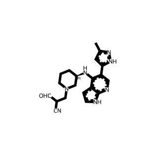 Cc1cc(-c2cnc3[nH]ccc3c2N[C@@H]2CCCN(CC(C#N)C=O)C2)[nH]n1